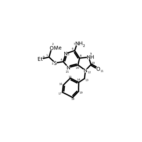 CCC(OC)Sc1nc(N)c2[nH]c(=O)n(Cc3ccccc3)c2n1